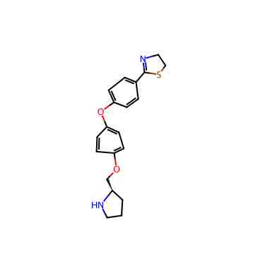 c1cc(Oc2ccc(C3=NCCS3)cc2)ccc1OC[C@H]1CCCN1